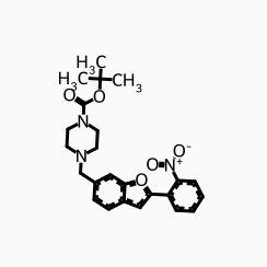 CC(C)(C)OC(=O)N1CCN(Cc2ccc3cc(-c4ccccc4[N+](=O)[O-])oc3c2)CC1